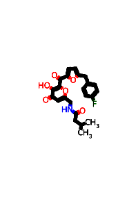 CC(C)CC(=O)NCc1cc(=O)c(O)c(C(=O)c2ccc(Cc3ccc(F)cc3)o2)o1